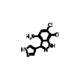 Nc1cc(Cl)c(Cl)c2[nH]nc(-c3cn[nH]c3)c12